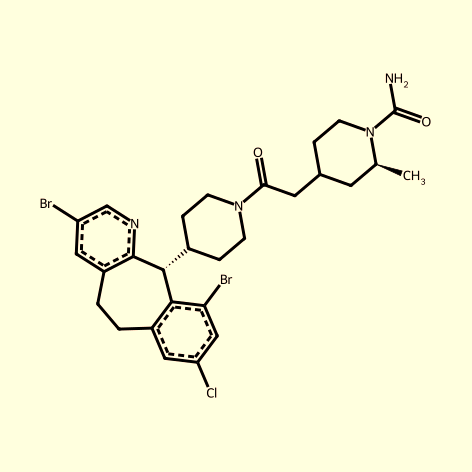 C[C@H]1CC(CC(=O)N2CCC([C@H]3c4ncc(Br)cc4CCc4cc(Cl)cc(Br)c43)CC2)CCN1C(N)=O